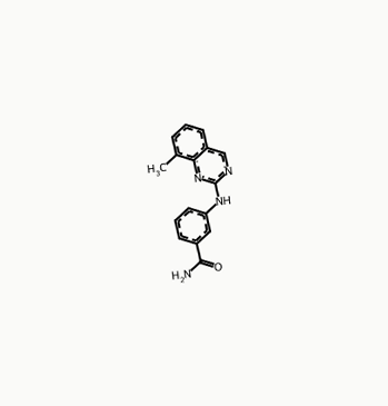 Cc1cccc2cnc(Nc3cccc(C(N)=O)c3)nc12